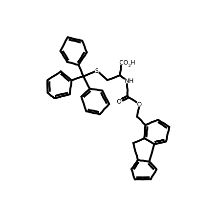 O=C(NC(CSC(c1ccccc1)(c1ccccc1)c1ccccc1)C(=O)O)OCc1cccc2c1Cc1ccccc1-2